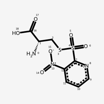 N[C@@H](CSS(=O)(=O)c1ncccc1[N+](=O)[O-])C(=O)O